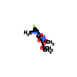 CCCc1cc(F)cc2cc(Cn3cccc(NC(=O)[C@H](CC/C=C/C(=O)N(C)C)NC(=O)OC)c3=O)[nH]c12